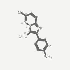 Cc1ccc(-c2nc3ccc(Cl)nn3c2C=O)cc1